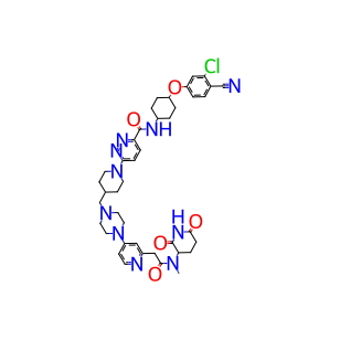 CN(C(=O)Cc1cc(N2CCN(CC3CCN(c4ccc(C(=O)NC5CCC(Oc6ccc(C#N)c(Cl)c6)CC5)nn4)CC3)CC2)ccn1)C1CCC(=O)NC1=O